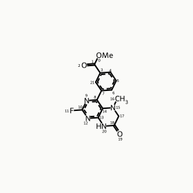 COC(=O)c1cccc(-c2nc(F)nc3c2N(C)CC(=O)N3)c1